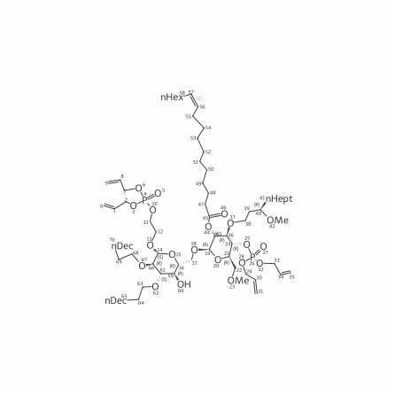 C=CCOP(=O)(OCC=C)OCCO[C@H]1O[C@H](CO[C@@H]2O[C@H](COC)[C@@H](OP(=O)(OCC=C)OCC=C)[C@H](OCC[C@@H](CCCCCCC)OC)[C@H]2OC(=O)CCCCCCCCC/C=C\CCCCCC)[C@@H](O)[C@H](OCCCCCCCCCCCC)[C@H]1OCCCCCCCCCCCC